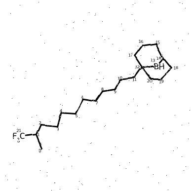 CC(CCCCCCCCCCC12BC(CCC1)CCC2)C(F)(F)F